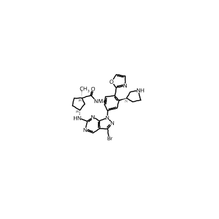 CNC(=O)[C@]1(C)CC[C@@H](Nc2ncc3c(Br)nn(-c4ccc(-c5ncco5)c([C@@H]5CCNC5)c4)c3n2)C1